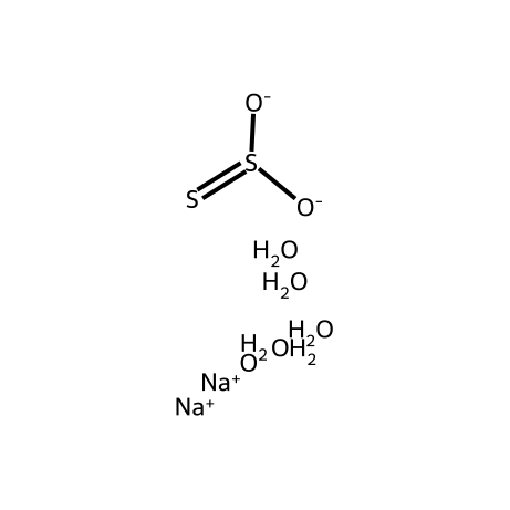 O.O.O.O.O.[Na+].[Na+].[O-]S([O-])=S